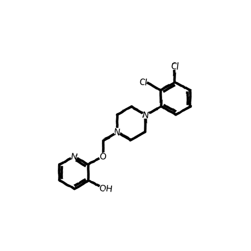 Oc1cccnc1OCN1CCN(c2cccc(Cl)c2Cl)CC1